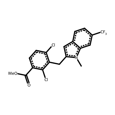 COC(=O)c1ccc(Cl)c(Cc2cc3ccc(C(F)(F)F)cc3n2C)c1Cl